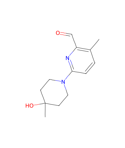 Cc1ccc(N2CCC(C)(O)CC2)nc1C=O